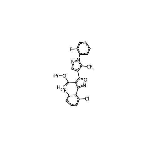 C=C(OC(C)C)c1c(-c2c(F)cccc2Cl)noc1-c1cnn(-c2ccccc2F)c1C(F)(F)F